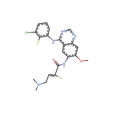 COc1cc2ncnc(Nc3cccc(Cl)c3F)c2cc1NC(=O)/C(F)=C/CN(C)C